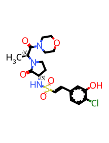 C[C@@H](C(=O)N1CCOCC1)N1CC[C@H](NS(=O)(=O)C=Cc2ccc(Cl)c(O)c2)C1=O